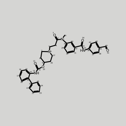 CN(C(=O)CCN1CCC(OC(=O)Nc2ccccc2-c2ccccc2)CC1)c1cccc(C(=O)Nc2ccc(C=O)cc2)c1